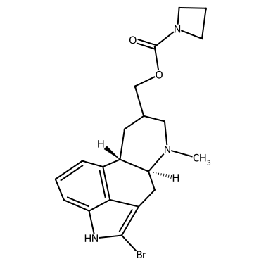 CN1CC(COC(=O)N2CCC2)C[C@H]2c3cccc4[nH]c(Br)c(c34)C[C@@H]21